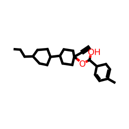 C#CC1(OC(O)C2C=CC(C)=CC2)CCC(C2CCC(CCC)CC2)CC1